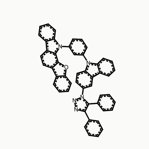 c1ccc(-c2nnn(-c3ccc4c(c3)c3ccccc3n4-c3cccc(-n4c5ccccc5c5ccc6c7ccccc7oc6c54)c3)c2-c2ccccc2)cc1